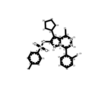 Cc1ccc(S(=O)(=O)Oc2nn3c(-c4ccccc4F)nnc(C)c3c2C2CCCC2)cc1